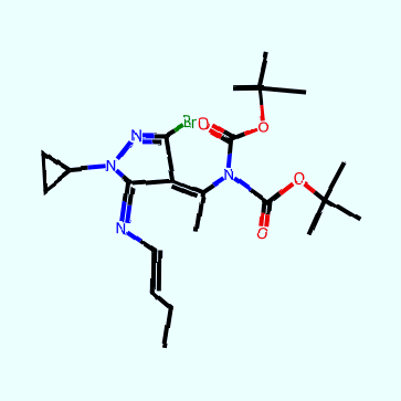 CC/C=C/N=C1\C(=C(/C)N(C(=O)OC(C)(C)C)C(=O)OC(C)(C)C)C(Br)=NN1C1CC1